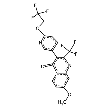 COc1ccn2c(=O)c(-c3ccc(OCC(F)(F)F)nc3)c(C(F)(F)F)nc2c1